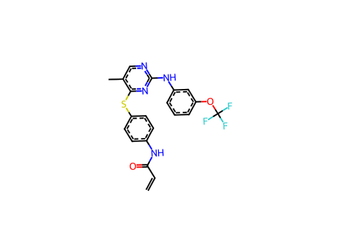 C=CC(=O)Nc1ccc(Sc2nc(Nc3cccc(OC(F)(F)F)c3)ncc2C)cc1